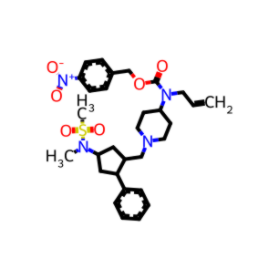 C=CCN(C(=O)OCc1ccc([N+](=O)[O-])cc1)C1CCN(CC2CC(N(C)S(C)(=O)=O)CC2c2ccccc2)CC1